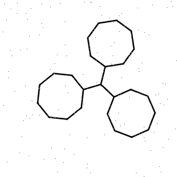 C1CCCC([C](C2CCCCCCC2)C2CCCCCCC2)CCC1